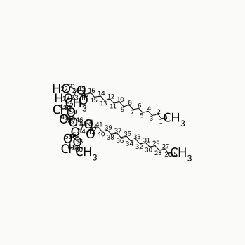 CCCCCCCCCCCCCCCCCC(=O)OC(CO)CO.CCCCCCCCCCCCCCCCCC(=O)OC(COC(=O)OC(C)Cl)COC(=O)OC(C)Cl